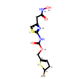 O=C(Cc1csc(NC(=O)OCC2=CCC(Br)S2)n1)NO